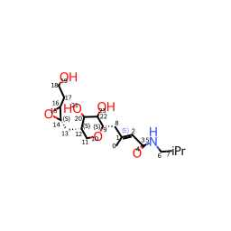 C/C(=C\C(=O)NCC(C)C)C[C@@H]1OC[C@H](C[C@@H]2OC2CCO)C(O)C1O